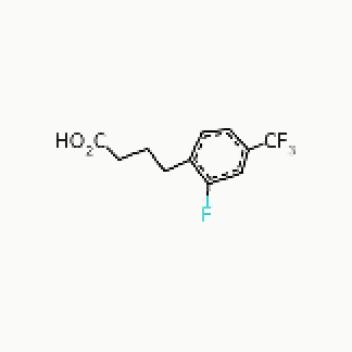 O=C(O)CCCc1ccc(C(F)(F)F)cc1F